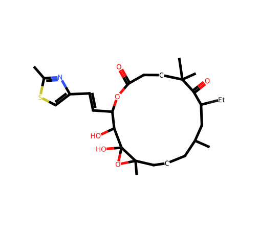 CCC1CC(C)CCCC2(C)OC2(O)C(O)C(C=Cc2csc(C)n2)OC(=O)CCC(C)(C)C1=O